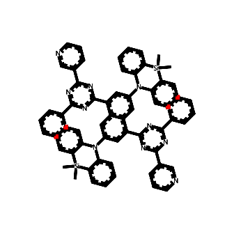 C[Si]1(C)c2ccccc2N(c2cc(-c3nc(-c4cccnc4)nc(-c4ccccn4)n3)c3cc(N4c5ccccc5[Si](C)(C)c5ccccc54)cc(-c4nc(-c5cccnc5)nc(-c5ccccn5)n4)c3c2)c2ccccc21